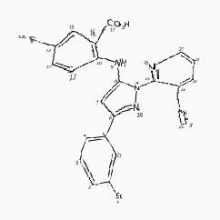 CCc1cccc(-c2cc(Nc3ccc(F)cc3C(=O)O)n(-c3ncccc3C(F)(F)F)n2)c1